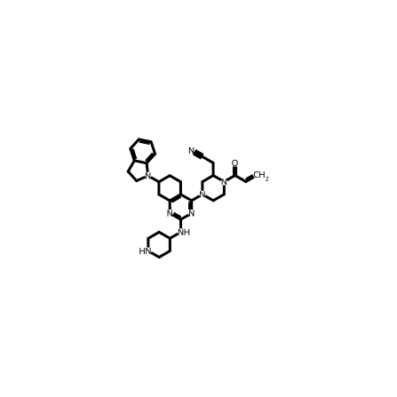 C=CC(=O)N1CCN(c2nc(NC3CCNCC3)nc3c2CCC(N2CCc4ccccc42)C3)CC1CC#N